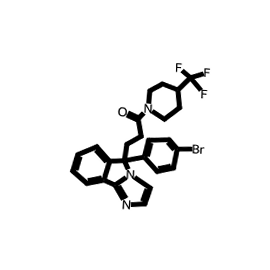 O=C(CCC1(c2ccc(Br)cc2)c2ccccc2-c2nccn21)N1CCC(C(F)(F)F)CC1